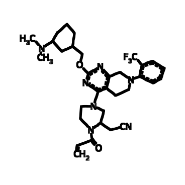 C=CC(=O)N1CCN(c2nc(OCC3CCCC(N(C)C)C3)nc3c2CCN(c2ccccc2C(F)(F)F)C3)CC1CC#N